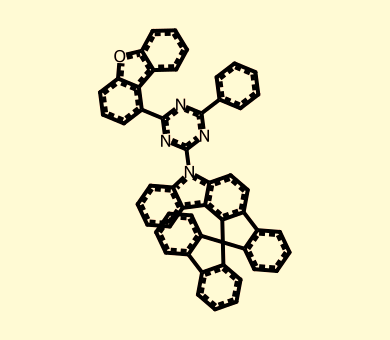 c1ccc(-c2nc(-c3cccc4oc5ccccc5c34)nc(-n3c4ccccc4c4c5c(ccc43)-c3ccccc3C53c4ccccc4-c4ccccc43)n2)cc1